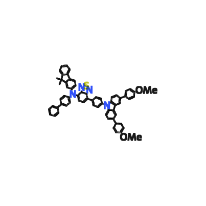 COc1ccc(-c2ccc3c(c2)c2cc(-c4ccc(OC)cc4)ccc2n3-c2ccc(-c3ccc(N(c4ccc(-c5ccccc5)cc4)c4ccc5c(c4)C(C)(C)c4ccccc4-5)c4nsnc34)cc2)cc1